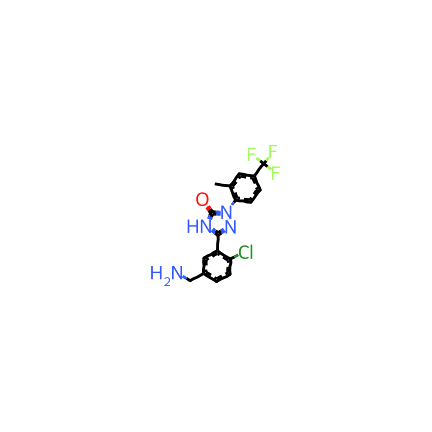 Cc1cc(C(F)(F)F)ccc1-n1nc(-c2cc(CN)ccc2Cl)[nH]c1=O